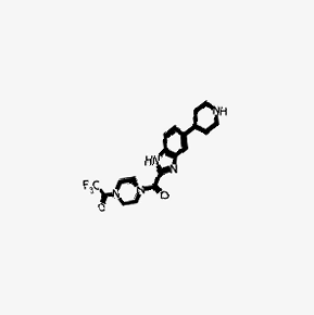 O=C(c1nc2cc(C3CCNCC3)ccc2[nH]1)N1CCN(C(=O)C(F)(F)F)CC1